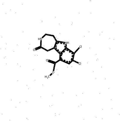 COC(=O)c1cc(Cl)c(Cl)c2[nH]c3c(c12)CC(=O)NCC3